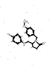 COc1ccc(CN2C(=O)CCC2COc2ccc(F)cc2)cc1